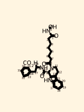 O=C(CCCCCCC(=O)N1CCc2c([nH]c3ccccc23)[C@H]1C(=O)NC(Cc1ccccc1)C(=O)O)NO